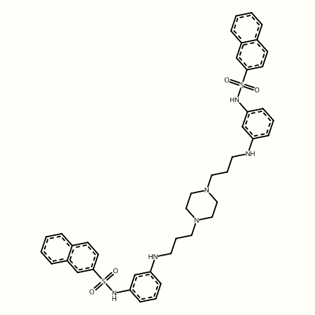 O=S(=O)(Nc1cccc(NCCCN2CCN(CCCNc3cccc(NS(=O)(=O)c4ccc5ccccc5c4)c3)CC2)c1)c1ccc2ccccc2c1